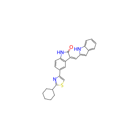 O=C1Nc2ccc(-c3csc(C4CCCCC4)n3)cc2/C1=C/c1cc2ccccc2[nH]1